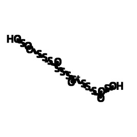 O=C(CSCSCSCC[S+]([O-])CSCSCSC(=O)CSCSCSCCOOCSCO)OCSCO